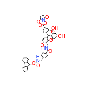 O=C(NCc1ccc(C(=O)NCc2c3oc4cc(O)ccc4c(-c4ccc(C(=O)ON5C(=O)CCC5=O)cc4C(=O)O)c-3ccc2=O)cc1)OCC1c2ccccc2-c2ccccc21